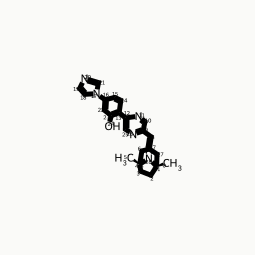 C[C@]12CC[C@](C)(C/C(=C\c3cnc(-c4ccc(-n5ccnc5)cc4O)cn3)C1)N2